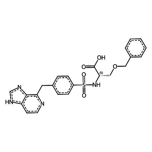 O=C(O)[C@H](COCc1ccccc1)NS(=O)(=O)c1ccc(Cc2nccc3[nH]cnc23)cc1